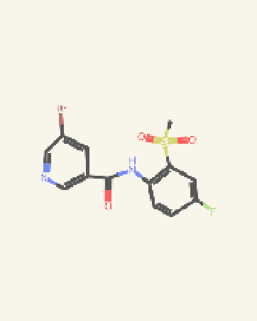 CS(=O)(=O)c1cc(F)ccc1NC(=O)c1cncc(Br)c1